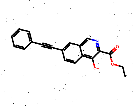 CCOC(=O)c1ncc2cc(C#Cc3ccccc3)ccc2c1O